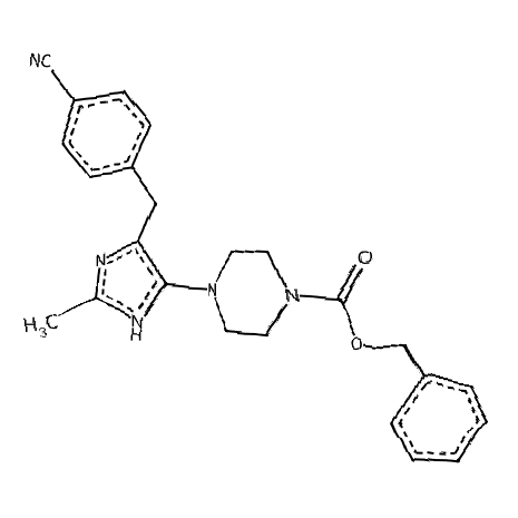 Cc1nc(Cc2ccc(C#N)cc2)c(N2CCN(C(=O)OCc3ccccc3)CC2)[nH]1